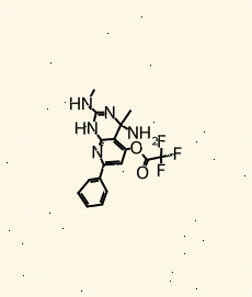 CNC1=NC(C)(N)c2c(OC(=O)C(F)(F)F)cc(-c3ccccc3)nc2N1